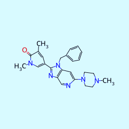 Cc1cc(-c2nc3cnc(N4CCN(C)CC4)cc3n2Cc2ccccc2)cn(C)c1=O